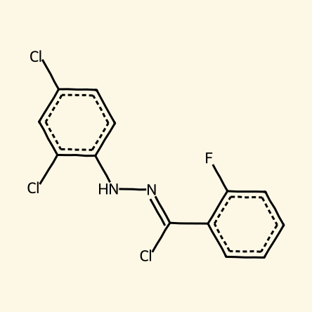 Fc1ccccc1C(Cl)=NNc1ccc(Cl)cc1Cl